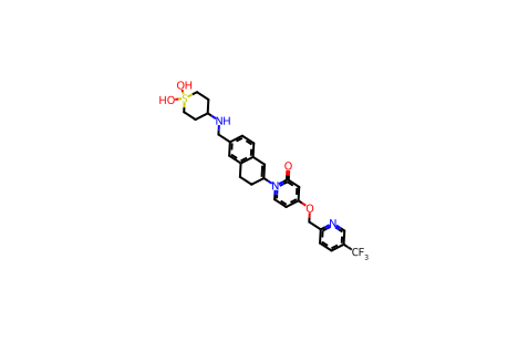 O=c1cc(OCc2ccc(C(F)(F)F)cn2)ccn1C1=Cc2ccc(CNC3CCS(O)(O)CC3)cc2CC1